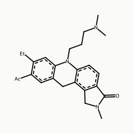 CCc1cc2c(cc1C(C)=O)Cc1c(ccc3c1CN(C)C3=O)N2CCCN(C)C